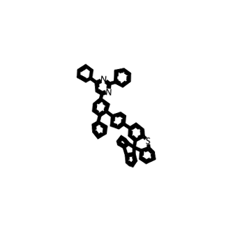 C1=CCC(c2cc(-c3ccc(-c4ccccc4)c(-c4ccc(-c5ccc6c(c5)C5(c7ccccc7S6)c6ccccc6-c6ccccc65)cc4)c3)nc(-c3ccccc3)n2)C=C1